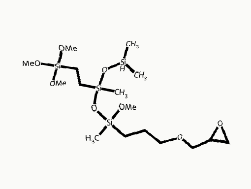 CO[Si](C)(CCCOCC1CO1)O[Si](C)(CC[Si](OC)(OC)OC)O[SiH](C)C